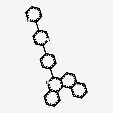 c1ccc(-c2ccc(-c3ccc(-c4nc5ccccc5c5c4ccc4ccccc45)cc3)nc2)nc1